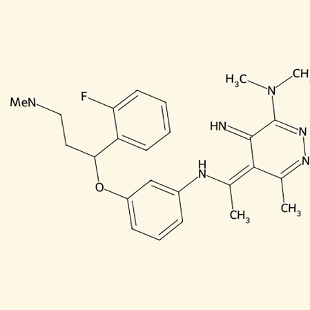 CNCCC(Oc1cccc(N/C(C)=C2\C(=N)C(N(C)C)=NN=C2C)c1)c1ccccc1F